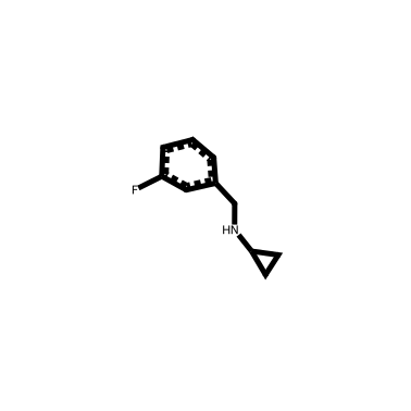 Fc1c[c]cc(CNC2CC2)c1